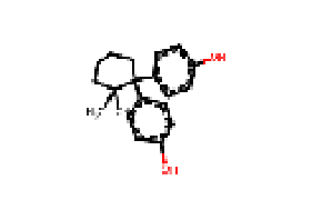 CC1(C)CCCCC1(c1ccc(O)cc1)c1ccc(O)cc1